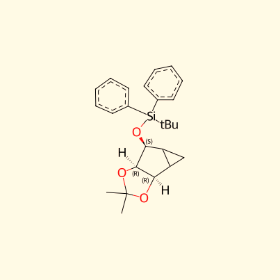 CC1(C)O[C@@H]2[C@H](O1)C1CC1[C@@H]2O[Si](c1ccccc1)(c1ccccc1)C(C)(C)C